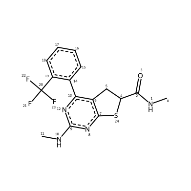 CNC(=O)C1Cc2c(nc(NC)nc2-c2ccccc2C(F)(F)F)S1